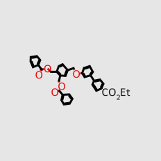 CCOC(=O)c1ccc(-c2cccc(OCc3ccc(COC(=O)c4ccccc4)c(COC(=O)c4ccccc4)c3)c2)cc1